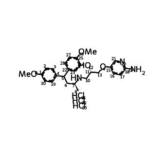 COc1ccc(C(C[C@H](C)NC[C@H](O)COc2ccc(N)nc2)c2ccc(OC)cc2)cc1.Cl.Cl.Cl